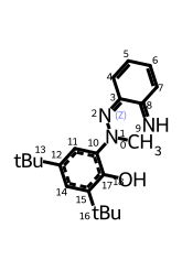 CN(/N=C1/C=CC=CC1=N)c1cc(C(C)(C)C)cc(C(C)(C)C)c1O